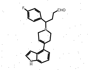 O=CCCC(c1ccc(F)cc1)N1CC=C(c2cccc3[nH]ccc23)CC1